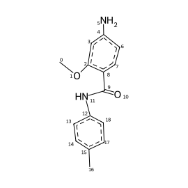 COc1cc(N)ccc1C(=O)Nc1ccc(C)cc1